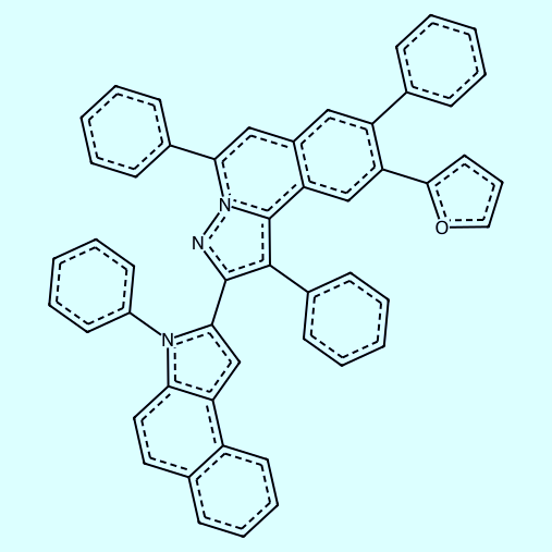 c1ccc(-c2cc3cc(-c4ccccc4)n4nc(-c5cc6c7ccccc7ccc6n5-c5ccccc5)c(-c5ccccc5)c4c3cc2-c2ccco2)cc1